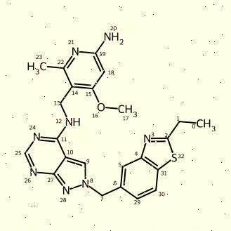 CCc1nc2cc(Cn3cc4c(NCc5c(OC)cc(N)nc5C)ncnc4n3)ccc2s1